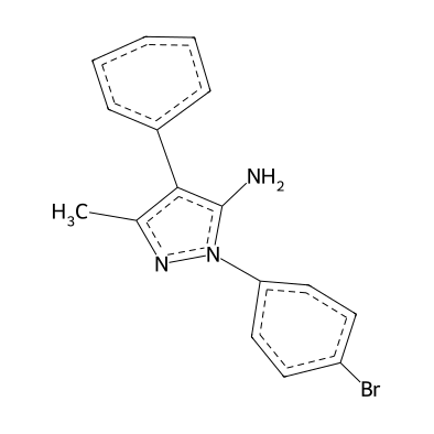 Cc1nn(-c2ccc(Br)cc2)c(N)c1-c1ccccc1